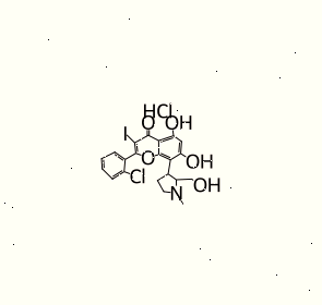 CN1CCC(c2c(O)cc(O)c3c(=O)c(I)c(-c4ccccc4Cl)oc23)C1CO.Cl